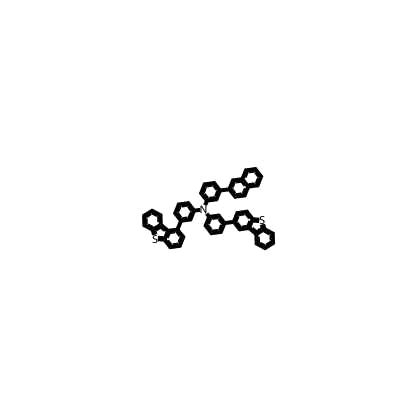 c1cc(-c2ccc3ccccc3c2)cc(N(c2cccc(-c3ccc4sc5ccccc5c4c3)c2)c2cccc(-c3cccc4sc5ccccc5c34)c2)c1